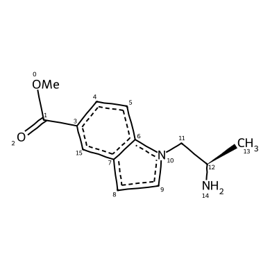 COC(=O)c1ccc2c(ccn2C[C@@H](C)N)c1